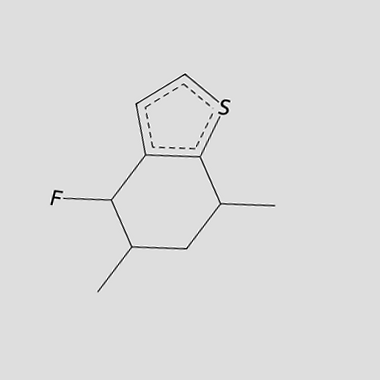 CC1CC(C)C(F)c2ccsc21